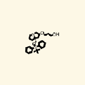 CC(C)(C)[Si](OC[C@]12CCCN1C[C@H](OCCCO)C2)(c1ccccc1)c1ccccc1